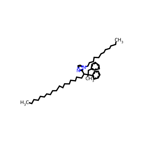 CCCCCCCCCCCCCCCCCCC(c1nccn1CCCCCCCCCCCC)C(C)(Cc1ccccc1)c1ccccc1